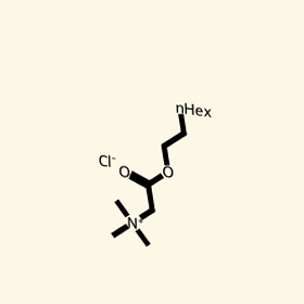 CCCCCCCCOC(=O)C[N+](C)(C)C.[Cl-]